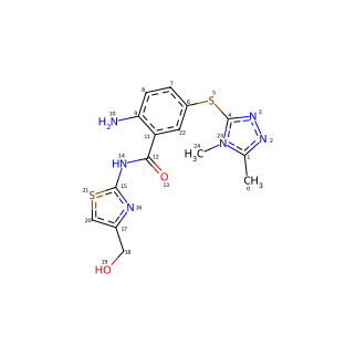 Cc1nnc(Sc2ccc(N)c(C(=O)Nc3nc(CO)cs3)c2)n1C